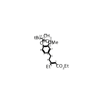 CCOC(=O)C=C(CC)CCc1ccc(O[Si](C)(C)C(C)(C)C)c(OC)c1